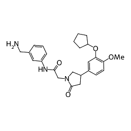 COc1ccc(C2CC(=O)N(CC(=O)Nc3cccc(CN)c3)C2)cc1OC1CCCC1